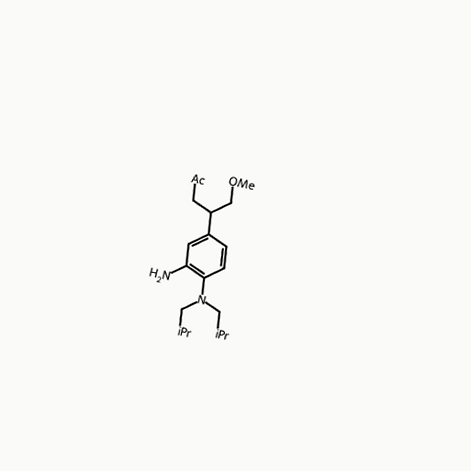 COCC(CC(C)=O)c1ccc(N(CC(C)C)CC(C)C)c(N)c1